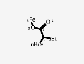 CCCCC(CC)C(=O)[O][Fe]